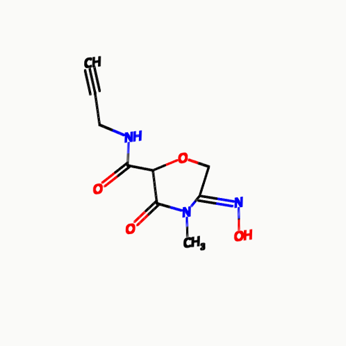 C#CCNC(=O)C1OCC(=NO)N(C)C1=O